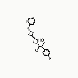 O=C(C(CO)c1ccc(F)cc1)N1CC(=C2CN(Sc3ccccn3)C2)C1